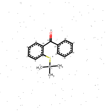 C[Si](C)(C)Sc1ccccc1C(=O)c1ccccc1